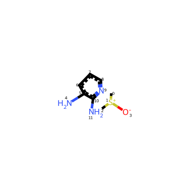 C[S+](C)[O-].Nc1cccnc1N